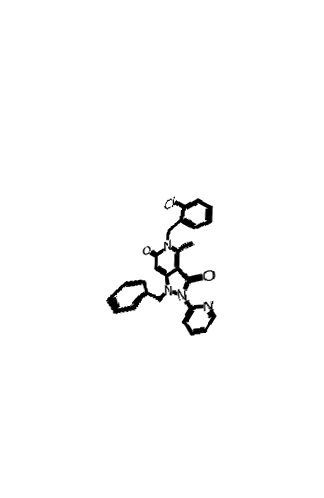 Cc1c2c(=O)n(-c3ccccn3)n(Cc3ccccc3)c2cc(=O)n1Cc1ccccc1Cl